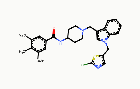 COc1cc(C(=O)NC2CCN(Cc3cn(Cc4cnc(Cl)s4)c4ccccc34)CC2)cc(OC)c1C